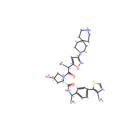 Cc1ncsc1-c1ccc(C(C)NC(=O)[C@@H]2C[C@@H](O)CN2C(=O)C(c2cc(N3CCC4(CCNCC4)CC3)no2)C(C)C)cc1